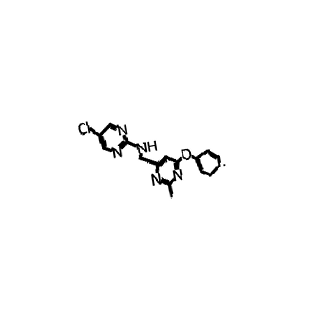 Cc1nc(CNc2ncc(Cl)cn2)cc(OC2=CC[CH]C=C2)n1